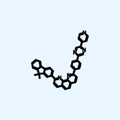 CC1(C)c2ccccc2-c2ccc(-c3ccc4ccc5ccc(-c6ccc(-c7cnc(-c8ccncc8)cn7)cc6)nc5c4n3)cc21